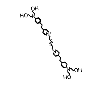 OCCN(CCO)c1ccc(CCc2cc[n+](CCSSCC[N+]3=CC=C(CCC4C=CC(N(CCO)CCO)CC4)CC3)cc2)cc1